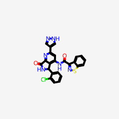 O=C1NC(c2ccccc2Cl)c2c(NC(=O)c3nsc4ccccc34)cc(-c3cn[nH]c3)nc21